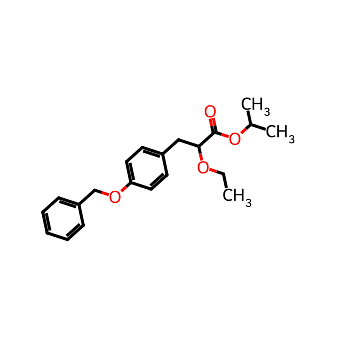 CCOC(Cc1ccc(OCc2ccccc2)cc1)C(=O)OC(C)C